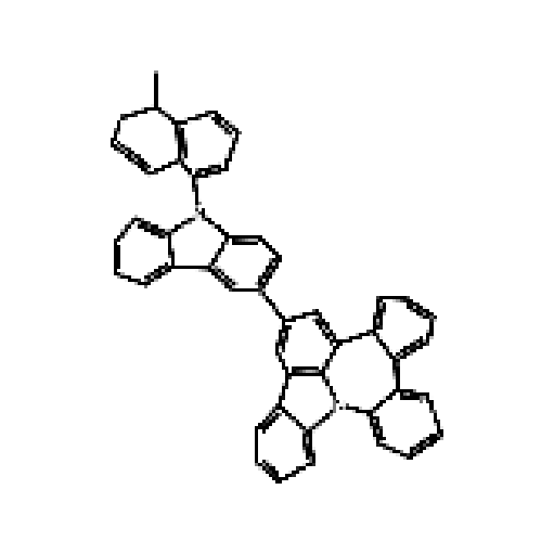 CC1CC=Cc2c1cccc2-n1c2ccccc2c2cc(-c3cc4c5c(c3)c3ccccc3n5-c3ccccc3-c3ccccc3-4)ccc21